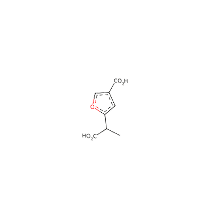 CC(C(=O)O)c1cc(C(=O)O)co1